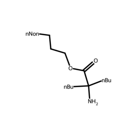 CCCCCCCCCCCCOC(=O)C(N)(CCCC)CCCC